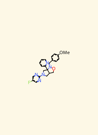 COc1ccc(CN2OCC3CN(c4ncc(F)cn4)CC32c2ccccn2)cc1